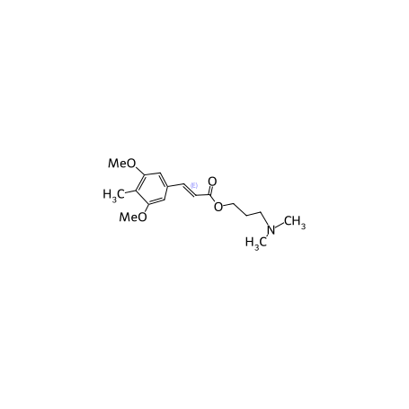 COc1cc(/C=C/C(=O)OCCCN(C)C)cc(OC)c1C